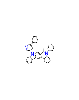 c1ccc(-c2cncc(-n3c4ccccc4c4cc5c6ccccc6n6c7ccccc7cc6c5cc43)c2)cc1